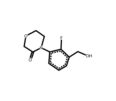 O=C1COCCN1c1cccc(CO)c1F